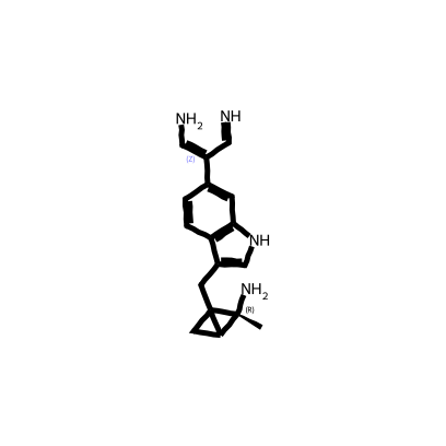 C[C@@]1(N)C2CC21Cc1c[nH]c2cc(/C(C=N)=C/N)ccc12